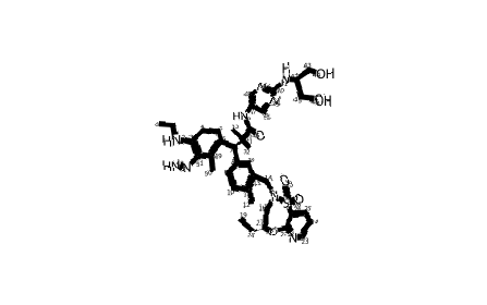 CCNc1ccc([C@H](c2ccc(C)c(CN3C[C@@H](CC)Oc4ncccc4S3(=O)=O)c2)C(C)(C)C(=O)Nc2cnc(NC(CO)CO)nc2)c(C)c1N=N